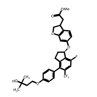 COC(=O)CC1COc2cc(O[C@@H]3CCc4c(-c5ccc(OCCC(C)(C)O)cc5)c(C(F)(F)F)cc(F)c43)ccc21